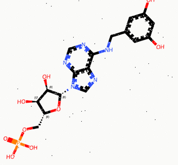 O=P(O)(O)OC[C@H]1O[C@@H](n2cnc3c(NCc4cc(O)cc(O)c4)ncnc32)[C@H](O)[C@@H]1O